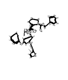 O=C(Nc1cc(Oc2ccccc2)cc(Oc2cccnc2)c1)C1CCCN1C(=O)OCc1ccccc1